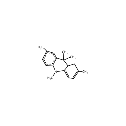 CC1=CC=C2C(C1)C(C)(C)c1cc(C)ccc1N2C